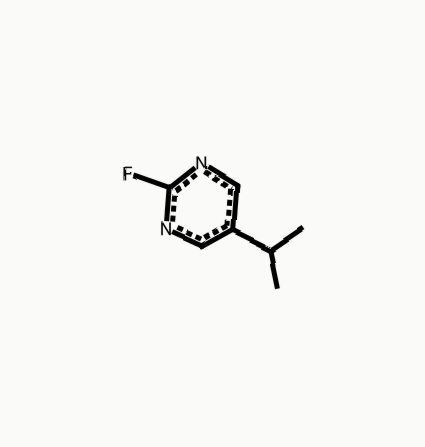 CC(C)c1cnc(F)nc1